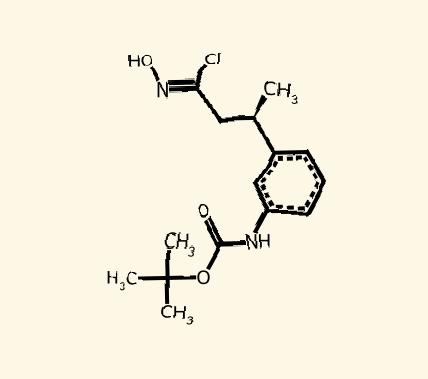 C[C@H](C/C(Cl)=N/O)c1cccc(NC(=O)OC(C)(C)C)c1